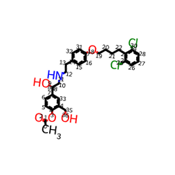 CC(=O)Oc1ccc([C@@H](O)CNCCc2ccc(OCCCCc3c(Cl)cccc3Cl)cc2)cc1CO